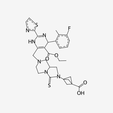 CCOC(=O)C1=C(CN2CCN3C(=S)N(C45CC(C(=O)O)(C4)C5)CC3C2)NC(c2nccs2)=NC1c1cccc(F)c1C